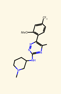 COc1cc(C(F)(F)F)ccc1-c1nnc(NC2CCCN(C)C2)nc1C